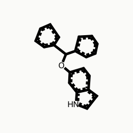 c1ccc(C(Oc2ccc3cc[nH]c3c2)c2ccccc2)cc1